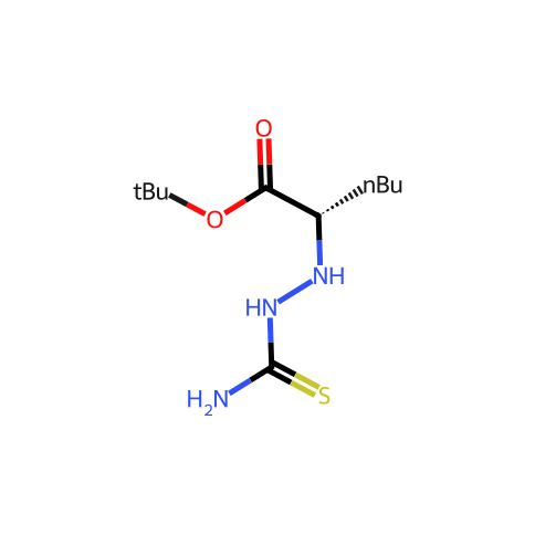 CCCC[C@H](NNC(N)=S)C(=O)OC(C)(C)C